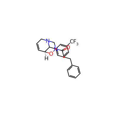 O=C(CCc1ccccc1)N1CN2CC=C[C@H](O1)C2c1cccc(C(F)(F)F)c1